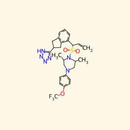 C=CC(c1cccc2c1CC(c1nnn[nH]1)C2)S(=O)(=O)N1C(C)CN(c2ccc(OC(F)(F)F)cc2)CC1C